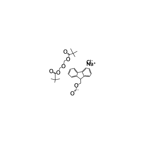 CC(C)(C)C(=O)OCOCOC(=O)C(C)(C)C.O=[C]OCC1c2ccccc2-c2ccccc21.[Cl-].[Na+]